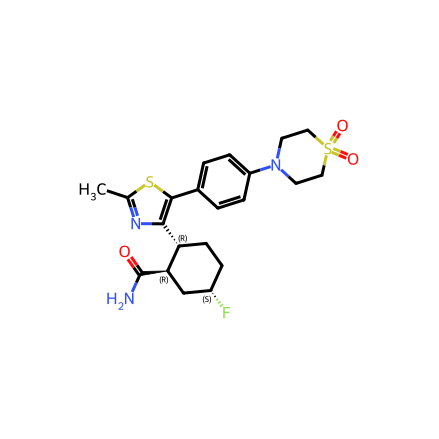 Cc1nc([C@@H]2CC[C@H](F)C[C@H]2C(N)=O)c(-c2ccc(N3CCS(=O)(=O)CC3)cc2)s1